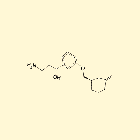 C=C1CCC[C@@H](COc2cccc([C@H](O)CCN)c2)C1